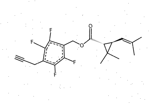 C#CCc1c(F)c(F)c(COC(=O)[C@@H]2[C@@H](C=C(C)C)C2(C)C)c(F)c1F